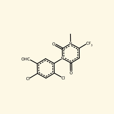 Cn1c(C(F)(F)F)cc(=O)n(-c2cc(C=O)c(Cl)cc2Cl)c1=O